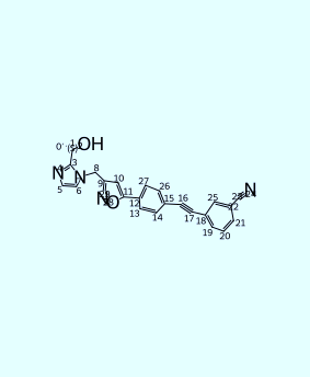 C[C@H](O)c1nccn1Cc1cc(-c2ccc(C#Cc3cccc(C#N)c3)cc2)on1